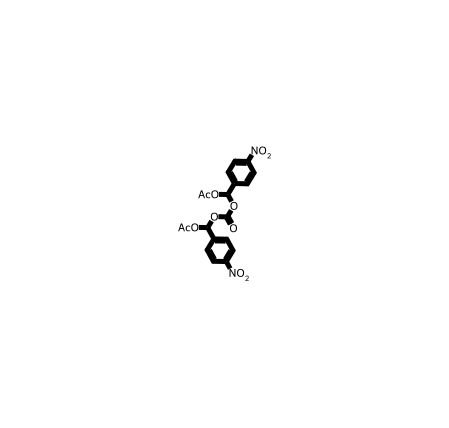 CC(=O)OC(OC(=O)OC(OC(C)=O)c1ccc([N+](=O)[O-])cc1)c1ccc([N+](=O)[O-])cc1